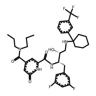 CCCN(CCC)C(=O)c1cc(C(=O)N[C@@H](Cc2cc(F)cc(F)c2)[C@H](O)CNC2(c3cccc(C(F)(F)F)c3)CCCCC2)[nH]c(=O)c1